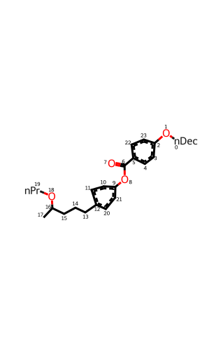 CCCCCCCCCCOc1ccc(C(=O)Oc2ccc(CCCC(C)OCCC)cc2)cc1